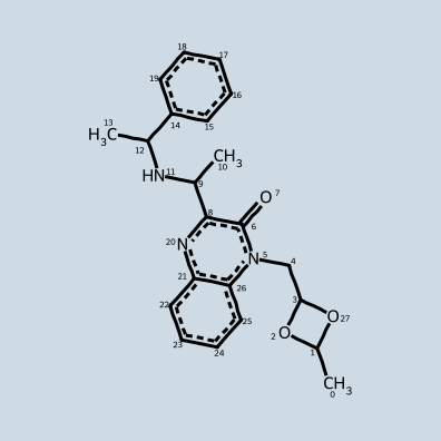 CC1OC(Cn2c(=O)c(C(C)NC(C)c3ccccc3)nc3ccccc32)O1